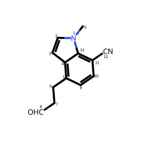 Cn1ccc2c(CCC=O)ccc(C#N)c21